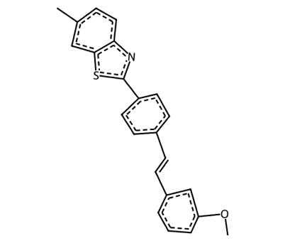 COc1cccc(C=Cc2ccc(-c3nc4ccc(C)cc4s3)cc2)c1